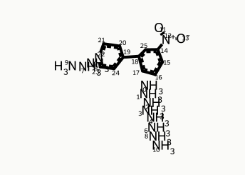 N.N.N.N.N.N.N.N.N.N.N.O=[N+]([O-])c1cccc(-c2ccncc2)c1